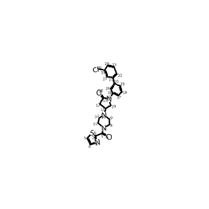 O=C(c1nccs1)N1CCN(C2CC(=O)N(c3cccc(-c4cccc(Cl)c4)c3)C2)CC1